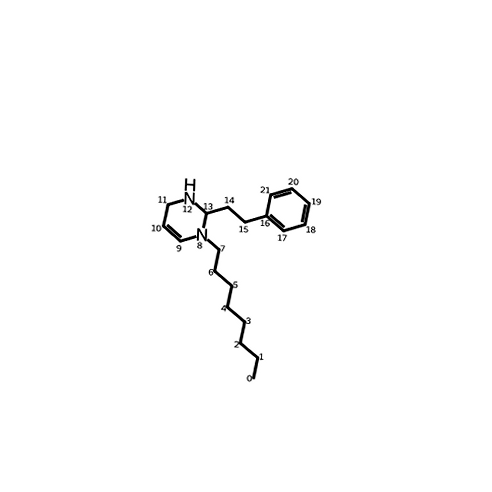 CCCCCCCCN1C=CCNC1CCc1ccccc1